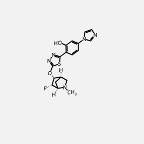 CN1C[C@H]2C[C@@H]1[C@H](F)[C@@H]2Oc1nnc(-c2ccc(-n3ccnc3)cc2O)s1